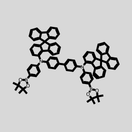 CC1(C)OB(c2ccc(N(C3=CC=C(c4ccc(N(c5ccc(B6OC(C)(C)C(C)(C)O6)cc5)c5cccc6c5-c5ccccc5C65c6ccccc6-c6ccccc65)cc4)CC3)c3cccc4c3-c3c#cccc3C43c4ccccc4-c4ccccc43)cc2)OC1(C)C